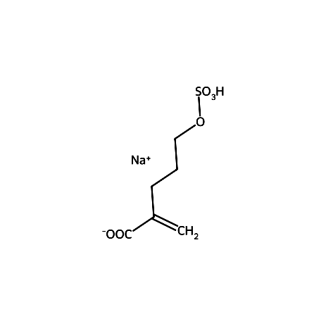 C=C(CCCOS(=O)(=O)O)C(=O)[O-].[Na+]